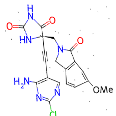 COc1ccc2c(c1)C(=O)N(C[C@@]1(C#Cc3cnc(Cl)nc3N)NC(=O)NC1=O)C2